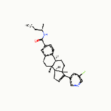 C[C@H](CC(=O)O)NC(=O)c1ccc2c(c1)CC[C@@H]1[C@@H]2CC[C@]2(C)C(c3cncc(F)c3)=CC[C@@H]12